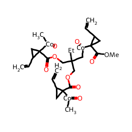 C=CC1C[C]1(C(=O)OCC(CC)(COC(=O)[C]1([Co]([CH3])=[O])CC1C=C)[CH2][Co](=[O])[C]1(C(=O)OC)CC1C=C)[Co]([CH3])=[O]